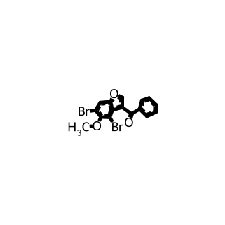 COc1c(Br)cc2occ(C(=O)c3ccccc3)c2c1Br